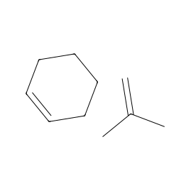 C1=CCCCC1.C=C(C)C